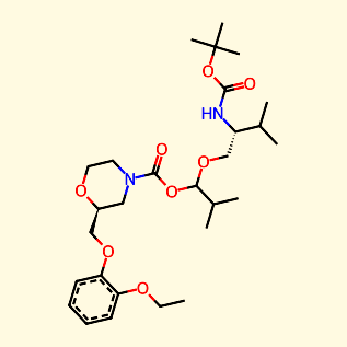 CCOc1ccccc1OC[C@@H]1CN(C(=O)OC(OC[C@H](NC(=O)OC(C)(C)C)C(C)C)C(C)C)CCO1